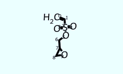 C=CS(=O)(=O)OCC1CO1